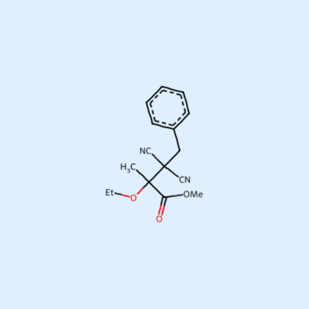 CCOC(C)(C(=O)OC)C(C#N)(C#N)Cc1ccccc1